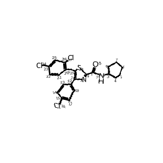 O=C(NC1CCCCC1)c1nc(-c2ccc(Cl)cc2)c(-c2ccc(Cl)cc2Cl)s1